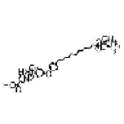 CC(C)(C)OC(=O)CCCCCCCCCCCc1ccc(Oc2ccc(S(=O)(=O)Nc3ccc(C(=O)O)cn3)cc2)cc1